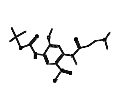 COc1cc(N(C)C(=O)CCN(C)C)c([N+](=O)[O-])cc1NC(=O)OC(C)(C)C